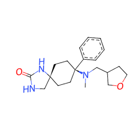 CN(CC1CCOC1)[C@]1(c2ccccc2)CC[C@@]2(CC1)CNC(=O)N2